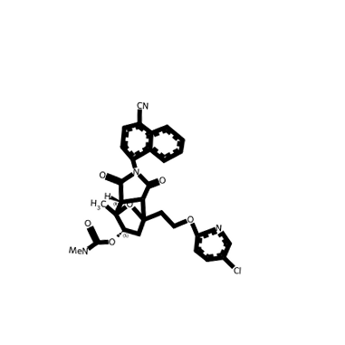 CNC(=O)O[C@H]1CC2(CCOc3ccc(Cl)cn3)OC1(C)[C@@H]1C(=O)N(c3ccc(C#N)c4ccccc34)C(=O)C12